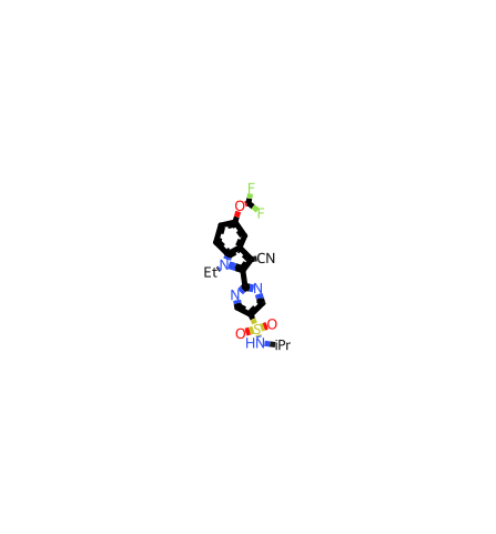 CCn1c(-c2ncc(S(=O)(=O)NC(C)C)cn2)c(C#N)c2cc(OC(F)F)ccc21